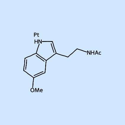 COc1ccc2[nH]cc(CCNC(C)=O)c2c1.[Pt]